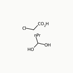 CCCC(O)O.O=C(O)CCl